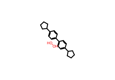 OO.c1cc(C2CCCC2)ccc1-c1ccc(C2CCCC2)cc1